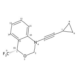 FC(F)(F)[C@H]1OCN(C#CC2CC2)c2ccccc21